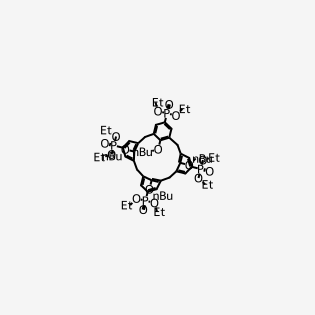 CCCCOc1c2cc(P(=O)(OCC)OCC)cc1Cc1cc(P(=O)(OCC)OCC)cc(c1OCCCC)Cc1cc(P(=O)(OCC)OCC)cc(c1OCCCC)Cc1cc(P(=O)(OCC)OCC)cc(c1OCCCC)C2